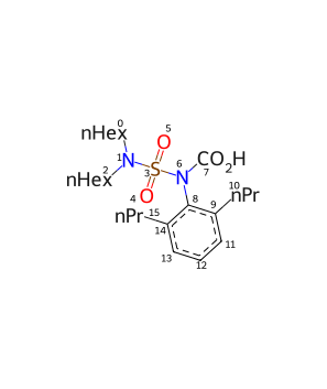 CCCCCCN(CCCCCC)S(=O)(=O)N(C(=O)O)c1c(CCC)cccc1CCC